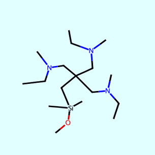 CCN(C)CC(CN(C)CC)(CN(C)CC)C[Si](C)(C)OC